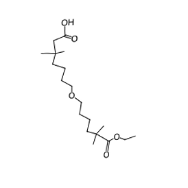 CCOC(=O)C(C)(C)CCCCOCCCCC(C)(C)CC(=O)O